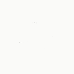 CCCCCCCC/C(C(=O)OCCCC)=C(/C(=O)OCCCC)C(C)C